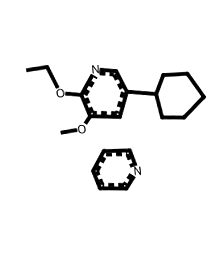 CCOc1ncc(C2CCCCC2)cc1OC.c1ccncc1